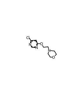 Clc1cc(OCCN2CCOCC2)ncn1